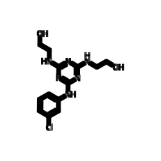 OCCNc1nc(NCCO)nc(Nc2cccc(Cl)c2)n1